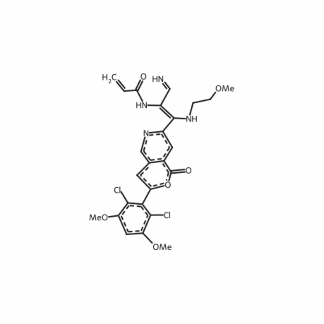 C=CC(=O)N/C(C=N)=C(/NCCOC)c1cc2c(=O)oc(-c3c(Cl)c(OC)cc(OC)c3Cl)cc2cn1